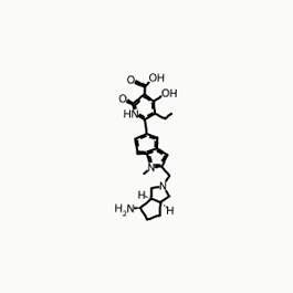 CCc1c(-c2ccc3c(c2)cc(CN2C[C@H]4CC[C@@H](N)[C@H]4C2)n3C)[nH]c(=O)c(C(=O)O)c1O